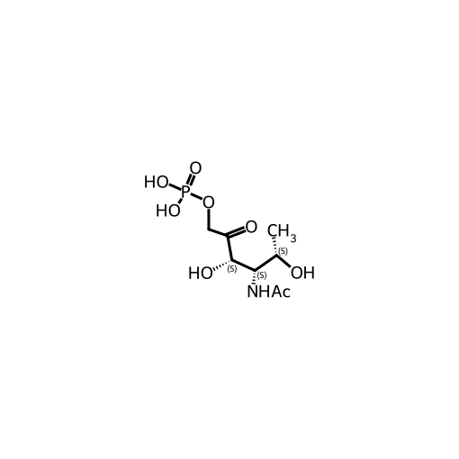 CC(=O)N[C@@H]([C@H](C)O)[C@H](O)C(=O)COP(=O)(O)O